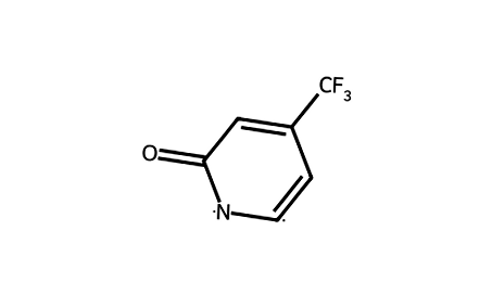 O=C1C=C(C(F)(F)F)C=[C][N]1